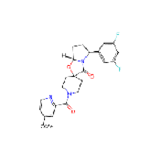 COc1ccnc(C(=O)N2CCC3(CC2)O[C@@H]2CC[C@@H](c4cc(F)cc(F)c4)N2C3=O)c1